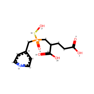 O=C(O)CCC(CP(=O)(Cc1ccncc1)SO)C(=O)O